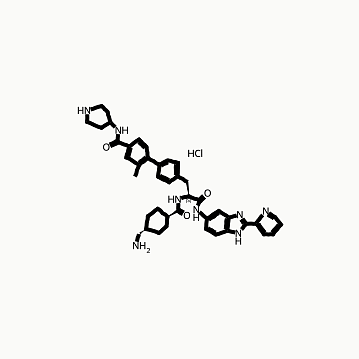 Cc1cc(C(=O)NC2CCNCC2)ccc1-c1ccc(C[C@H](NC(=O)[C@H]2CC[C@H](CN)CC2)C(=O)Nc2ccc3[nH]c(-c4ccccn4)nc3c2)cc1.Cl